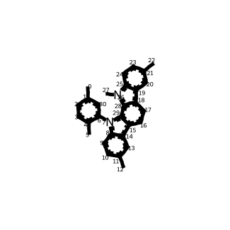 Cc1ccc(C)c(-n2c3ccc(C)cc3c3ccc4c5cc(C)ccc5n(C)c4c32)c1